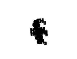 CCc1cccc2c1oc1c(N(c3ccccc3)c3ccc4cc5c(cc4c3)C(C(C)(C)C)(C(C)(C)C)c3c-5c4ccccc4c4cc(N(c5ccccc5)c5cccc6c5oc5c(CC)cccc56)ccc34)cccc12